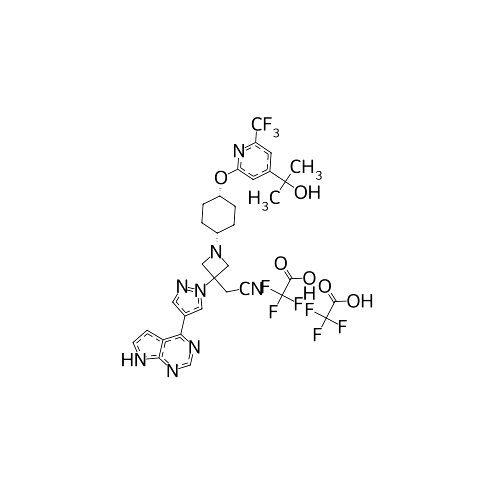 CC(C)(O)c1cc(O[C@H]2CC[C@@H](N3CC(CC#N)(n4cc(-c5ncnc6[nH]ccc56)cn4)C3)CC2)nc(C(F)(F)F)c1.O=C(O)C(F)(F)F.O=C(O)C(F)(F)F